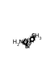 CC1(F)CCC(Oc2ncc(N)cc2Br)CC1